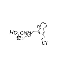 CC(C)(C)C1(NC(=O)O)CC1Cc1cc(CCC#N)cc2cccnc12